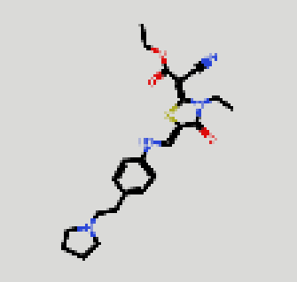 CCOC(=O)C(C#N)=c1sc(=CNc2ccc(CCN3CCCC3)cc2)c(=O)n1CC